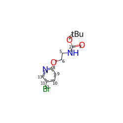 CC(C)(C)OC(=O)NCCOc1ccc(Br)cn1